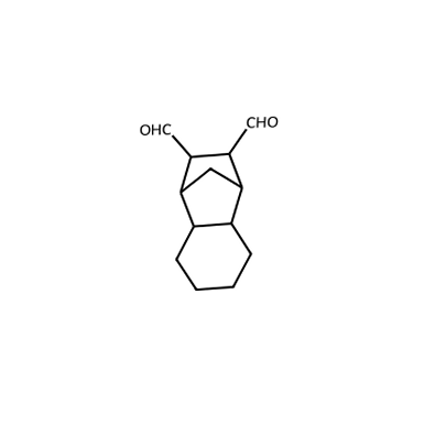 O=CC1C(C=O)C2CC1C1CCCCC21